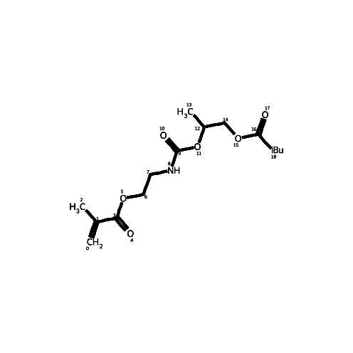 C=C(C)C(=O)OCCNC(=O)OC(C)COC(=O)C(C)CC